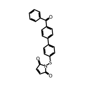 O=C(c1ccccc1)c1ccc(-c2ccc(SN3C(=O)C=CC3=O)cc2)cc1